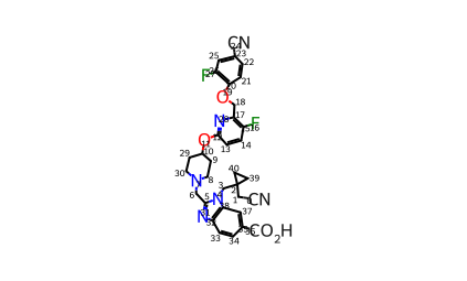 N#CCC1(Cn2c(CN3CCC(Oc4ccc(F)c(COc5ccc(C#N)cc5F)n4)CC3)nc3ccc(C(=O)O)cc32)CC1